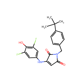 CC(C)(C)c1ccc(CN2C(=O)C=C(Nc3cc(F)c(O)c(F)c3)C2=O)cc1